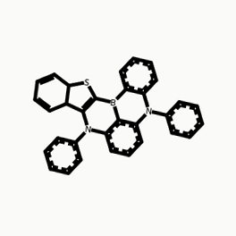 C1=CC2SC3=C(C2C=C1)N(c1ccccc1)c1cccc2c1B3c1ccccc1N2c1ccccc1